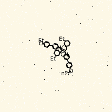 CCCOc1ccc(-c2ccc(C(CC3(C#N)CCCC(CC)C3)C(Cc3ccc(-c4ccc(OCC)cc4)cc3)C3(C#N)CCCC(CC)C3)cc2)cc1